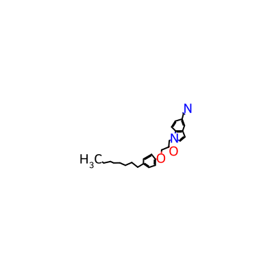 CCCCCCCCc1ccc(OCC(=O)Cn2ccc3cc(C#N)ccc32)cc1